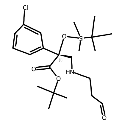 CC(C)(C)OC(=O)[C@@](CNCCC=O)(O[Si](C)(C)C(C)(C)C)c1cccc(Cl)c1